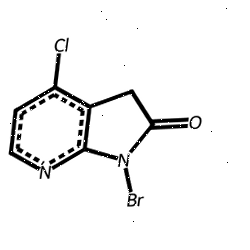 O=C1Cc2c(Cl)ccnc2N1Br